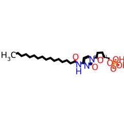 CCCCCCCCCCCCCCCC(=O)Nc1ccn([C@H]2CC[C@@H](COP(=O)(O)O)O2)c(=O)n1